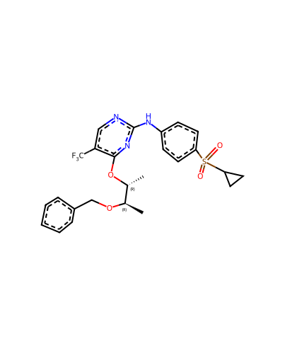 C[C@@H](OCc1ccccc1)[C@@H](C)Oc1nc(Nc2ccc(S(=O)(=O)C3CC3)cc2)ncc1C(F)(F)F